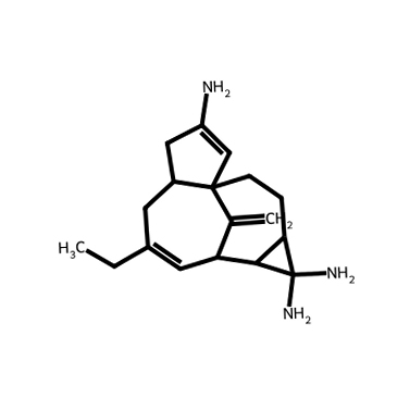 C=C1C2C=C(CC)CC3CC(N)=CC13CCC1C2C1(N)N